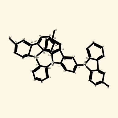 Cc1ccc2c(c1)c1ccccc1n2-c1ccc2c(c1)c1cc(C)ccc1n2-c1ccccc1-n1c2ccccc2c2cc(C)ccc21